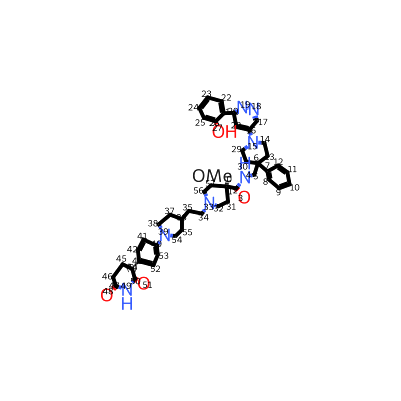 COC1(C(=O)NCC2(c3ccccc3)CCN(c3cnnc(-c4ccccc4O)c3)CC2)CCN(CCC2CCN(c3ccc([C@H]4CCC(=O)NC4=O)cc3)CC2)CC1